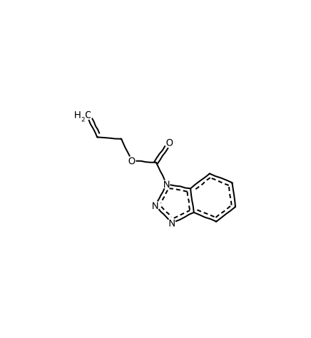 C=CCOC(=O)n1nnc2ccccc21